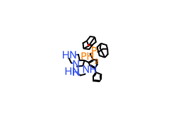 PC(c1cc(-c2ccccc2)ccc1CP(C12CC3CC(CC(C3)C1)C2)C12CC3CC(CC(C3)C1)C2)(C1CNCCN1)C1CNCCN1